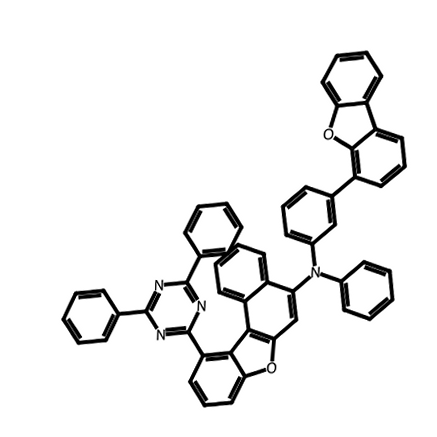 c1ccc(-c2nc(-c3ccccc3)nc(-c3cccc4oc5cc(N(c6ccccc6)c6cccc(-c7cccc8c7oc7ccccc78)c6)c6ccccc6c5c34)n2)cc1